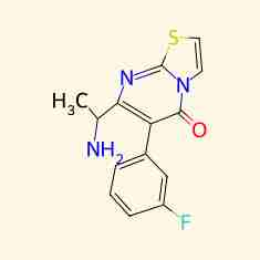 CC(N)c1nc2sccn2c(=O)c1-c1cccc(F)c1